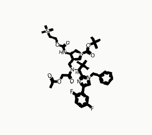 CC(=O)OCC(=O)N(CC1CN(C(=O)OC(C)(C)C)CC1NC(=O)OCC[Si](C)(C)C)[C@@H](c1nc(-c2cc(F)ccc2F)cn1Cc1ccccc1)C(C)(C)C